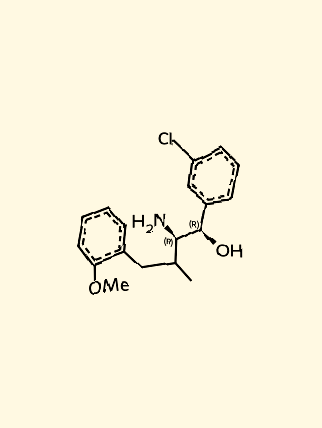 COc1ccccc1CC(C)[C@@H](N)[C@H](O)c1cccc(Cl)c1